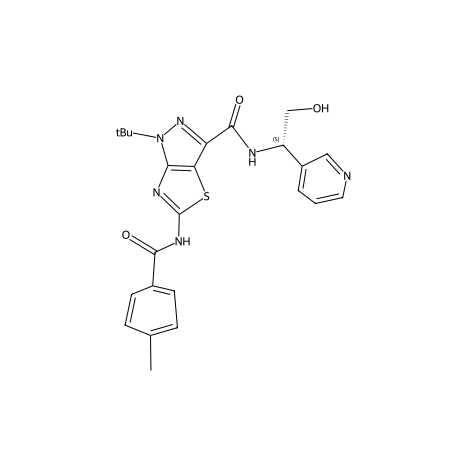 Cc1ccc(C(=O)Nc2nc3c(s2)c(C(=O)N[C@H](CO)c2cccnc2)nn3C(C)(C)C)cc1